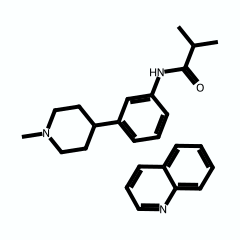 CC(C)C(=O)Nc1cccc(C2CCN(C)CC2)c1.c1ccc2ncccc2c1